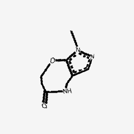 Cn1ncc2c1OCC(=O)N2